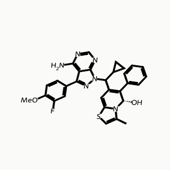 COc1ccc(-c2nn(C(C3=C(c4ccccc4)[C@H](O)N4C(C)=CSC4=C3)C3CC3)c3ncnc(N)c23)cc1F